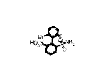 NS(=O)(=O)c1cccc(S(=O)(=O)O)c1-c1c(F)cccc1Br